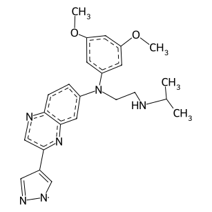 COc1cc(OC)cc(N(CCNC(C)C)c2ccc3ncc(C4=C[N]N=C4)nc3c2)c1